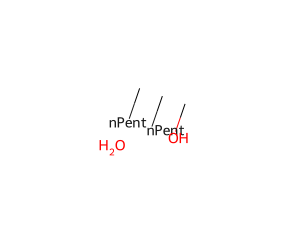 CCCCCC.CCCCCC.CO.O